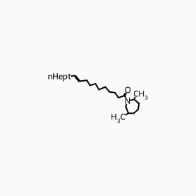 CCCCCCCC=CCCCCCCCCC(=O)N1CC(C)CCCC1C